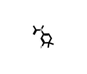 C=C(C)N(C)C1=CCC(C)(C)C(F)=C1